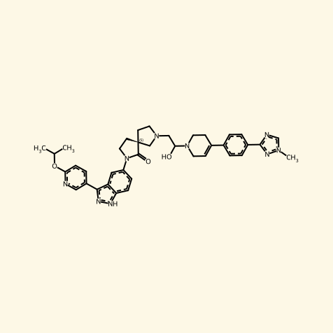 CC(C)Oc1ccc(-c2n[nH]c3ccc(N4CC[C@]5(CCN(CC(O)N6CC=C(c7ccc(-c8ncn(C)n8)cc7)CC6)C5)C4=O)cc23)cn1